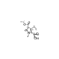 CCOC(=O)c1nn(C)c(C(=O)O)c1CC